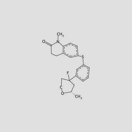 C[C@H]1CC(F)(c2cccc(Sc3ccc4c(c3)CCC(=O)N4C)c2)CCO1